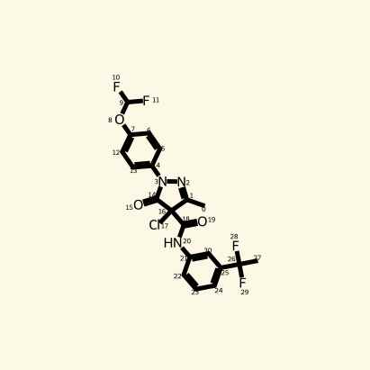 CC1=NN(c2ccc(OC(F)F)cc2)C(=O)C1(Cl)C(=O)Nc1cccc(C(C)(F)F)c1